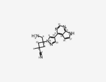 CC1(C#N)CC(CN)(n2cc(-c3ncnc4[nH]ccc34)cn2)C1